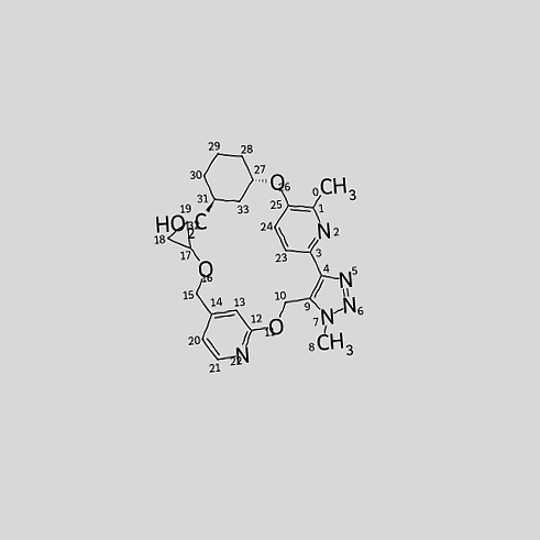 Cc1nc(-c2nnn(C)c2COc2cc(COC3CC3)ccn2)ccc1O[C@H]1CCC[C@H](C(=O)O)C1